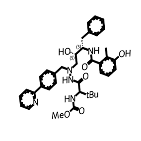 COC(=O)NC(C(=O)NN(Cc1ccc(-c2ccccn2)cc1)C[C@H](O)[C@H](Cc1ccccc1)NC(=O)c1cccc(O)c1C)C(C)(C)C